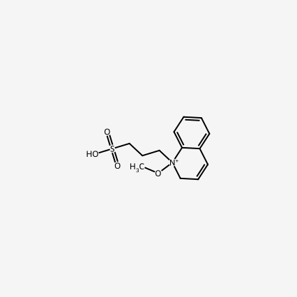 CO[N+]1(CCCS(=O)(=O)O)CC=Cc2ccccc21